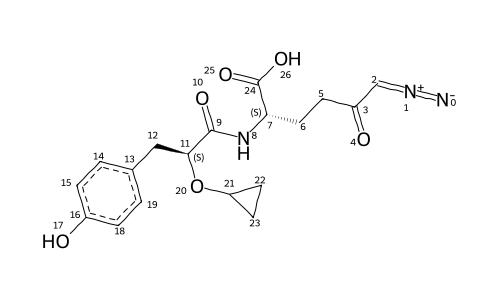 [N-]=[N+]=CC(=O)CC[C@H](NC(=O)[C@H](Cc1ccc(O)cc1)OC1CC1)C(=O)O